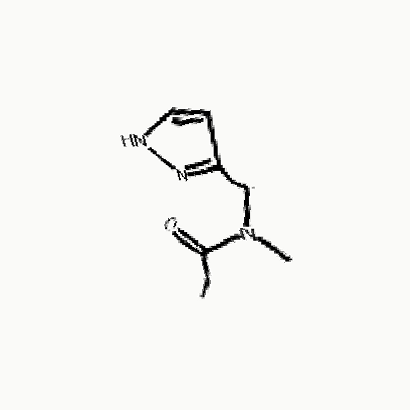 CC(=O)N(C)[CH]c1cc[nH]n1